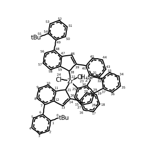 CC(C)(C)c1ccccc1-c1cccc2c1C=C(c1ccccc1)[CH]2[Zr]([Cl])([Cl])([c]1cccc2c1[SiH2]c1ccccc1-2)[CH]1C(c2ccccc2)=Cc2c(-c3ccccc3C(C)(C)C)cccc21